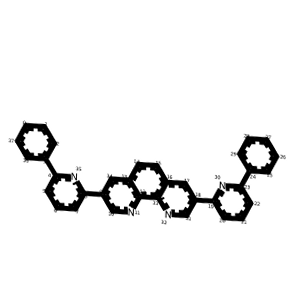 c1ccc(-c2cccc(-c3cnc4c(ccc5cc(-c6cccc(-c7ccccc7)n6)cnc54)c3)n2)cc1